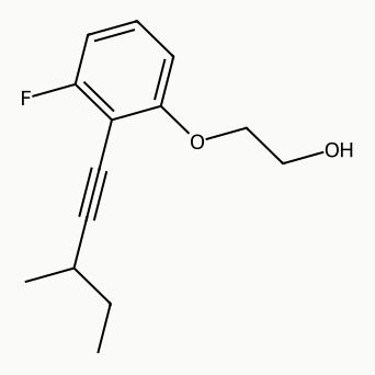 CCC(C)C#Cc1c(F)cccc1OCCO